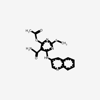 CSc1nc(Nc2cnc3ccccc3c2)c(C(N)=O)c(OC(C)=O)n1